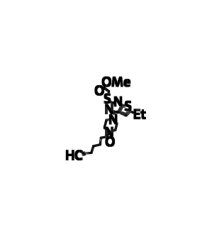 C#CCCCCC(=O)N1CCN(c2nc(SCC(=O)OC)nc3sc(CC)cc23)CC1